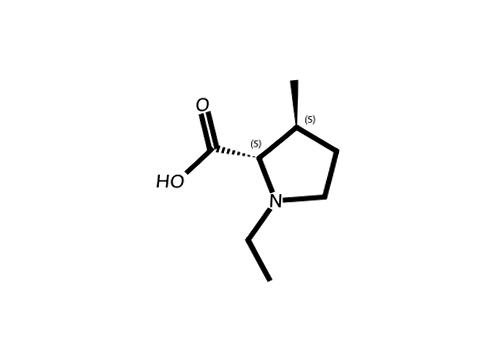 CCN1CC[C@H](C)[C@H]1C(=O)O